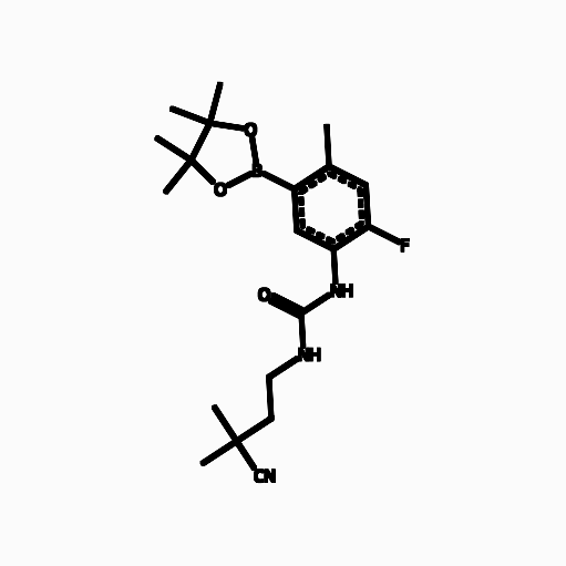 Cc1cc(F)c(NC(=O)NCCC(C)(C)C#N)cc1B1OC(C)(C)C(C)(C)O1